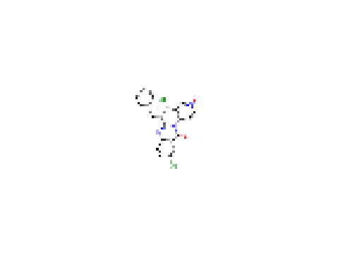 Cc1c[n+]([O-])ccc1-n1c(C=Cc2ccccc2F)nc2ccc(Cl)cc2c1=O